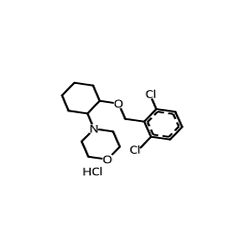 Cl.Clc1cccc(Cl)c1COC1CCCCC1N1CCOCC1